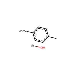 CCO.CSc1ccc(C)cc1